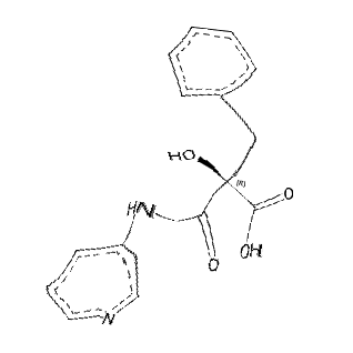 O=C(O)[C@@](O)(Cc1ccccc1)C(=O)Nc1cccnc1